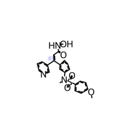 COc1ccc(S(=O)(=O)N(C)c2cccc(/C(=C\C(=O)NO)c3cccnc3)c2)cc1